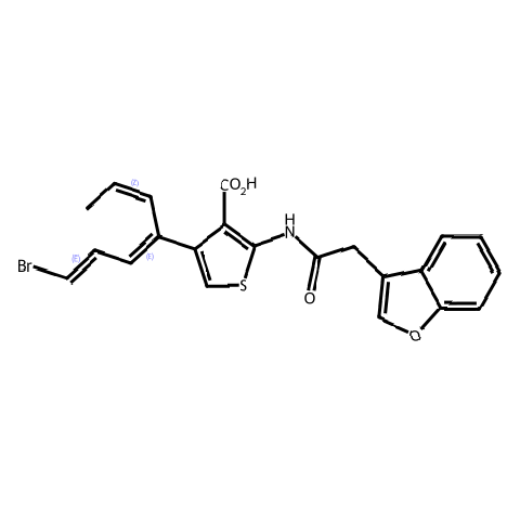 C\C=C/C(=C\C=C\Br)c1csc(NC(=O)Cc2coc3ccccc23)c1C(=O)O